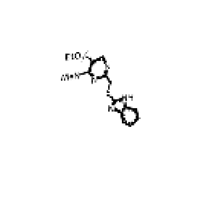 CCOC(=O)c1cnc(CSc2nc3ccccc3[nH]2)nc1NC